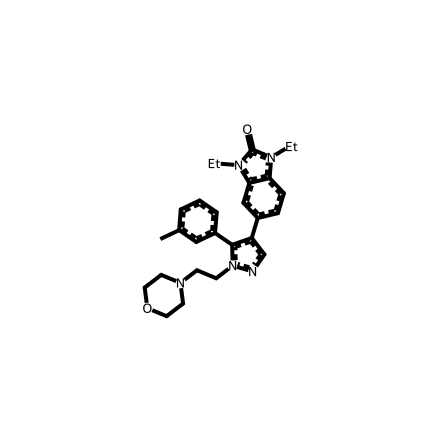 CCn1c(=O)n(CC)c2cc(-c3cnn(CCN4CCOCC4)c3-c3cccc(C)c3)ccc21